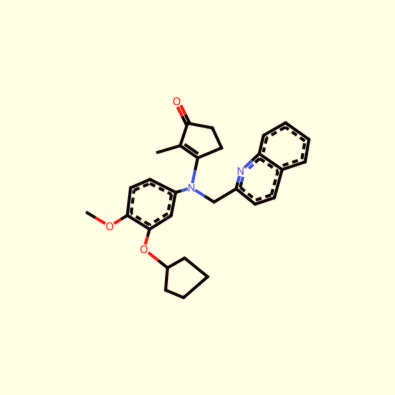 COc1ccc(N(Cc2ccc3ccccc3n2)C2=C(C)C(=O)CC2)cc1OC1CCCC1